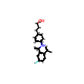 C=C(C)c1ccc(F)cc1C(=C)Nc1ccc(CCCO)cc1